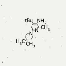 Cc1nc(N2CCC(C)(C)CC2)cc(C(C)(C)C)c1N